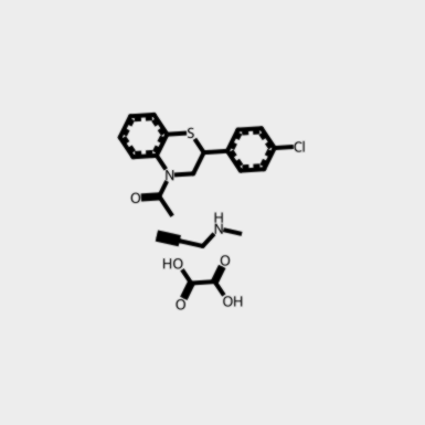 C#CCNC.CC(=O)N1CC(c2ccc(Cl)cc2)Sc2ccccc21.O=C(O)C(=O)O